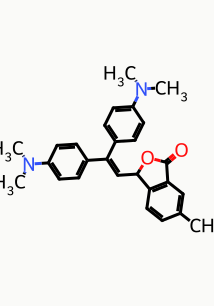 Cc1ccc2c(c1)C(=O)OC2C=C(c1ccc(N(C)C)cc1)c1ccc(N(C)C)cc1